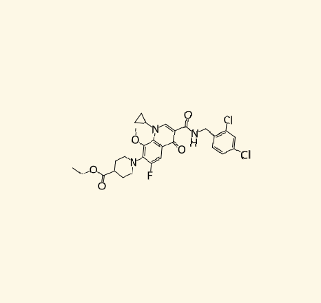 CCOC(=O)C1CCN(c2c(F)cc3c(=O)c(C(=O)NCc4ccc(Cl)cc4Cl)cn(C4CC4)c3c2OC)CC1